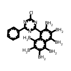 Bc1c(B)c(B)c2c(-c3nc(Cl)nc(-c4ccccc4)n3)c(B)c(B)c(B)c2c1B